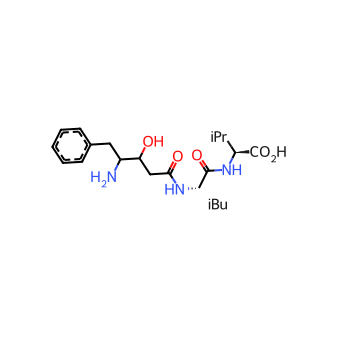 CC[C@H](C)[C@H](NC(=O)CC(O)C(N)Cc1ccccc1)C(=O)N[C@H](C(=O)O)C(C)C